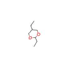 CC[C]1COC(CC)OC1